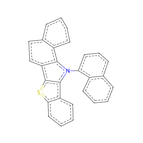 c1ccc2c(-n3c4c5ccccc5ccc4c4sc5ccccc5c43)cccc2c1